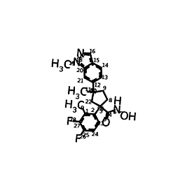 Cc1c([C@]2(C(=O)NO)CC[C@@](C)(c3ccc4cnn(C)c4c3)C2)ccc(F)c1F